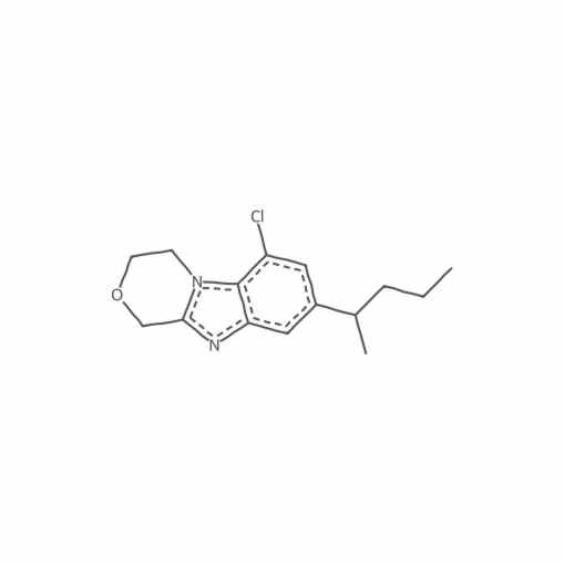 CCCC(C)c1cc(Cl)c2c(c1)nc1n2CCOC1